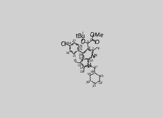 COC(=O)C(OC(C)(C)C)c1c(C)nc2c(c(C)c(C)n2CC2CCCCC2)c1-c1ccc(Cl)cc1